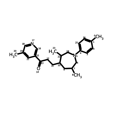 Cc1ccc(N2CC(C)CC(CCC(=O)c3cncc(C)c3)C(C)C2)cc1